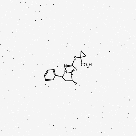 O=C(O)C1(Sc2nc3n(n2)[C@H](c2ccccc2)C[C@@H]3F)CC1